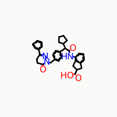 O=C(O)C1Cc2cccc(NC(=O)C(c3ccc(CN4N=C(c5ccccc5)CCC4=O)cc3)C3CCCC3)c2C1